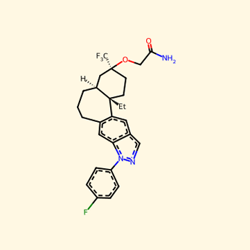 CC[C@]12CC[C@@](OCC(N)=O)(C(F)(F)F)C[C@@H]1CCCc1cc3c(cnn3-c3ccc(F)cc3)cc12